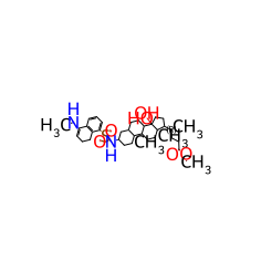 CNC1=CCCc2c1cccc2S(=O)(=O)NC1CCC2(C)C(C1)CC(O)C1C2CCC2(C)C([C@H](C)CCC(=O)OC)CCC12O